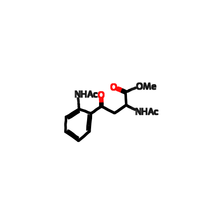 COC(=O)C(CC(=O)c1ccccc1NC(C)=O)NC(C)=O